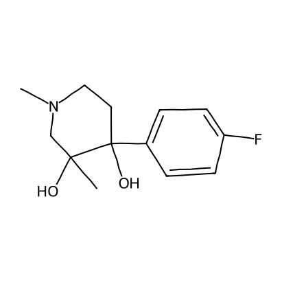 CN1CCC(O)(c2ccc(F)cc2)C(C)(O)C1